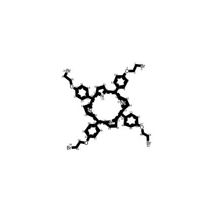 BrCCOc1ccc(-c2c3nc(c(-c4ccc(OCCBr)cc4)c4ccc([nH]4)c(-c4ccc(OCCBr)cc4)c4nc(c(-c5ccc(OCCBr)cc5)c5ccc2[nH]5)C=C4)C=C3)cc1